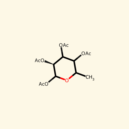 CC(=O)OC1C(C)OC(OC(C)=O)[C@@H](OC(C)=O)C1OC(C)=O